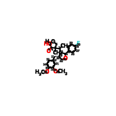 CCC(C)(C(=O)O)C(C)[C@@H]1[C@@H](Cc2ccc(OC)c(OC)c2)CO[C@@H]1c1ccc(F)cc1